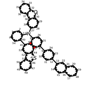 c1ccc(N(c2ccc(-c3ccc(-c4ccc5ccccc5c4)cc3)cc2)c2ccc3oc4ccccc4c3c2)c(-c2ccc3sc4ccccc4c3c2)c1